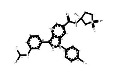 C[C@]1(NC(=O)c2cnc3c(-c4cccc(OC(F)F)c4)nn(-c4ccc(F)cc4)c3c2)CCS(=O)(=O)C1